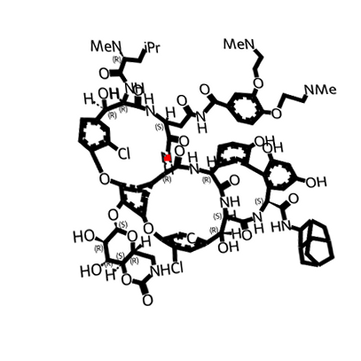 CNCCOc1ccc(C(=O)NC(=O)C[C@@H]2NC(=O)[C@H](NC(=O)[C@@H](CC(C)C)NC)[C@H](O)c3ccc(c(Cl)c3)Oc3cc4cc(c3O[C@@H]3O[C@@H]5CNC(=O)O[C@H]5[C@H](O)[C@H]3O)Oc3ccc(cc3Cl)[C@@H](O)[C@@H]3NC(=O)[C@H](NC(=O)[C@@H]4NC2=O)c2ccc(O)c(c2)-c2c(O)cc(O)cc2[C@@H](C(=O)NC2C4CC5CC(C4)CC2C5)NC3=O)cc1OCCNC